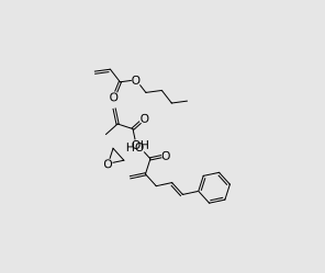 C1CO1.C=C(C)C(=O)O.C=C(CC=Cc1ccccc1)C(=O)O.C=CC(=O)OCCCC